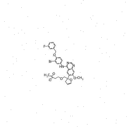 COc1cc2ncnc(Nc3ccc(OCc4cccc(F)c4)c(Br)c3)c2cc1C1(COCCS(C)(=O)=O)CC=CO1